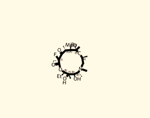 CCC(C)[C@@H]1[C@@H](C)C(=O)[C@](C)(F)C(=O)O[C@H](CC)[C@@](C)(O)[C@H](O)[C@@H](C)N(C)C[C@H](C)C[C@@]1(C)OC